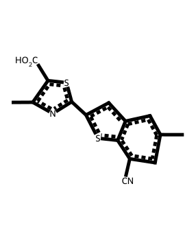 Cc1cc(C#N)c2sc(-c3nc(C)c(C(=O)O)s3)cc2c1